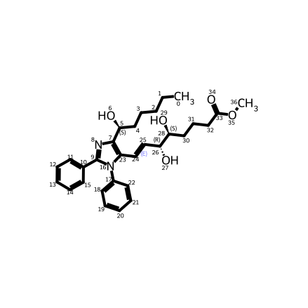 CCCCC[C@H](O)c1nc(-c2ccccc2)n(-c2ccccc2)c1/C=C/[C@@H](O)[C@@H](O)CCCC(=O)OC